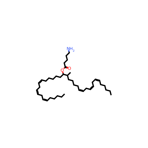 CCCCC/C=C\C/C=C\C/C=C\CCCCCC(OC(=O)CCCCN)C(C)CCCC/C=C\C/C=C\C/C=C\CCCCC